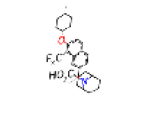 C[C@H](c1ccc2ccc(O[C@H]3CC[C@@H](C)CC3)c(C(F)(F)F)c2c1)N1C2CCCC1CC(C(=O)O)C2